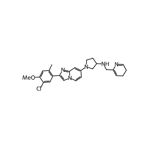 COc1cc(C)c(-c2cn3ccc(N4CCC(NCC5=CCCC=N5)C4)cc3n2)cc1Cl